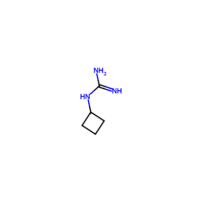 N=C(N)N[C]1CCC1